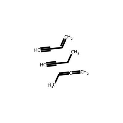 C#CC=C.C#CCC.C=C=CC